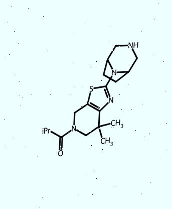 CC(C)C(=O)N1Cc2sc(N3C4CCC3CNC4)nc2C(C)(C)C1